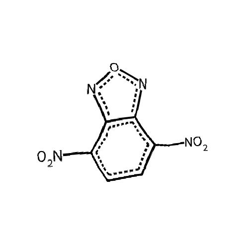 O=[N+]([O-])c1ccc([N+](=O)[O-])c2nonc12